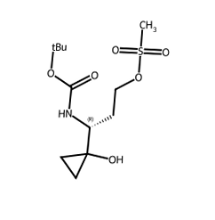 CC(C)(C)OC(=O)N[C@H](CCOS(C)(=O)=O)C1(O)CC1